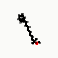 CO[Si](C)(C)CCCCCCCCC1CC2C=CC1C2